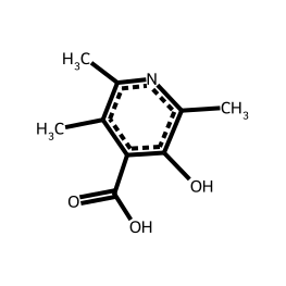 Cc1nc(C)c(O)c(C(=O)O)c1C